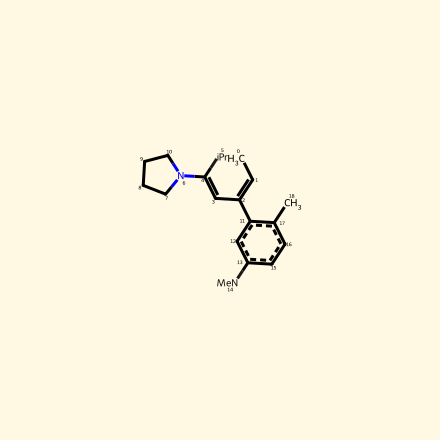 C/C=C(\C=C(/C(C)C)N1CCCC1)c1cc(NC)ccc1C